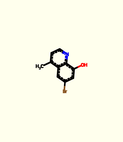 Cc1ccnc2c(O)cc(Br)cc12